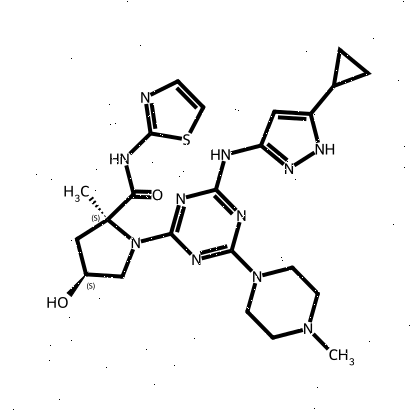 CN1CCN(c2nc(Nc3cc(C4CC4)[nH]n3)nc(N3C[C@@H](O)C[C@@]3(C)C(=O)Nc3nccs3)n2)CC1